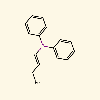 [Fe][CH2]C=CP(c1ccccc1)c1ccccc1